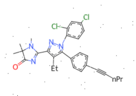 CCCC#Cc1ccc(-c2c(CC)c(C3=NC(=O)C(C)(C)N3C)nn2-c2ccc(Cl)cc2Cl)cc1